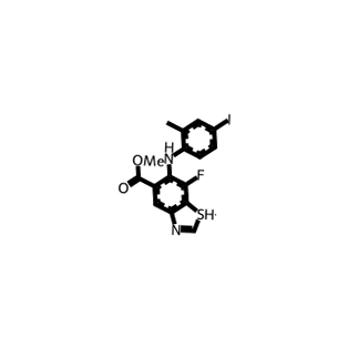 COC(=O)c1cc2c(c(F)c1Nc1ccc(I)cc1C)[SH]C=N2